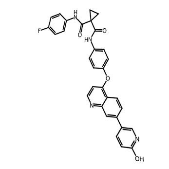 O=C(Nc1ccc(F)cc1)C1(C(=O)Nc2ccc(Oc3ccnc4cc(-c5ccc(O)nc5)ccc34)cc2)CC1